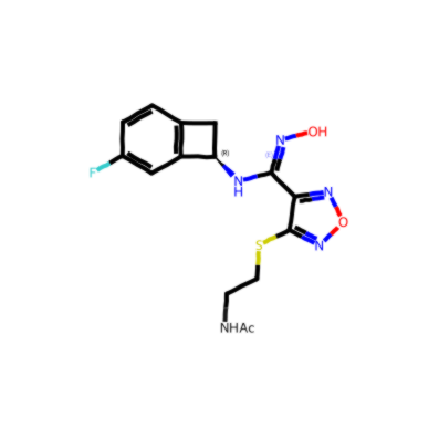 CC(=O)NCCSc1nonc1/C(=N\O)N[C@@H]1Cc2ccc(F)cc21